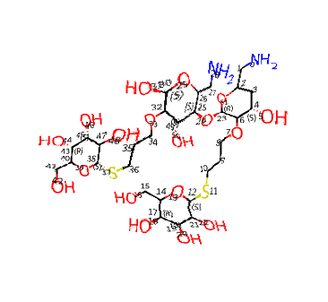 NCC1C[C@H](O)C(OCCCS[C@@H]2OC(CO)[C@H](O)[C@H](O)C2O)[C@@H](O[C@@H]2C(CN)O[C@H](O)C(OCCCS[C@@H]3OC(CO)[C@H](O)[C@H](O)C3O)[C@H]2O)O1